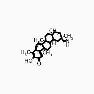 CC1=C(O)C(=O)C=C2C1=CC=C1[C@@]2(C)CCC2[C@@H]3C[C@](C)(C=N)CC[C@]3(C)CC[C@]12C